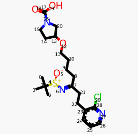 CC(C)(C)[S@@+]([O-])N=C(CCCCOC1CCN(C(=O)O)C1)CCc1cccnc1Cl